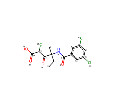 CCC(C)(NC(=O)c1cc(Cl)cc(Cl)c1)C(=O)C(Cl)C(=O)O